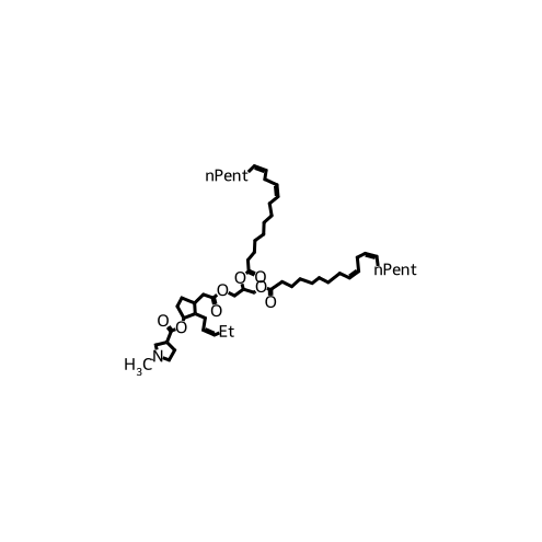 CC/C=C\CC1C(CC(=O)OCC(COC(=O)CCCCCCC/C=C\C/C=C\CCCCC)OC(=O)CCCCCCC/C=C\C/C=C\CCCCC)CCC1OC(=O)C1CCN(C)C1